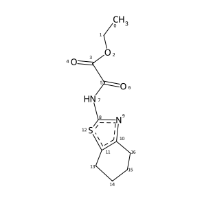 CCOC(=O)C(=O)Nc1nc2c(s1)CCCC2